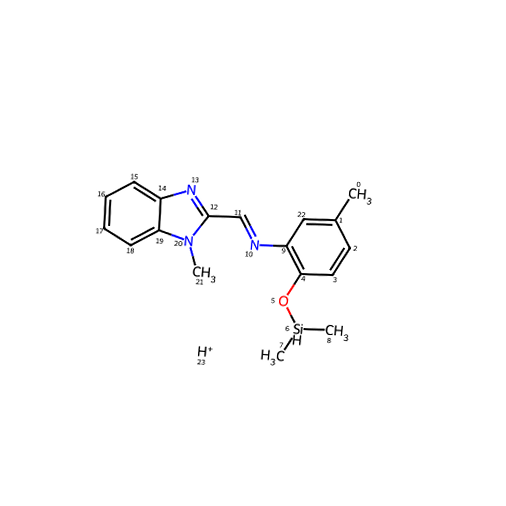 Cc1ccc(O[SiH](C)C)c(N=Cc2nc3ccccc3n2C)c1.[H+]